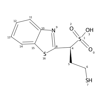 O=S(=O)(O)[C@@H](CCS)c1nc2ccccc2s1